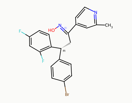 Cc1cc(/C(C[C@H](c2ccc(Br)cc2)c2ccc(F)cc2F)=N/O)ccn1